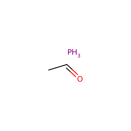 CC=O.P